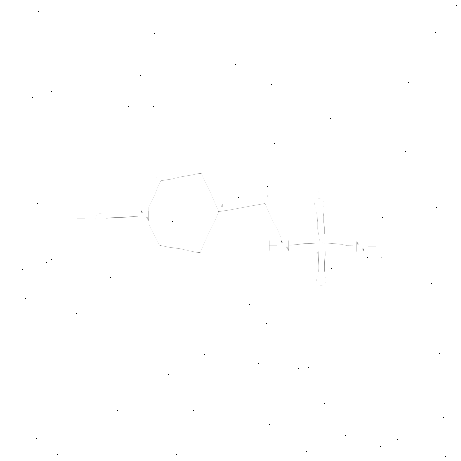 CN1CCC(CNS(N)(=O)=O)CC1